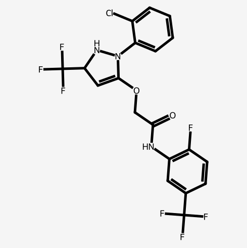 O=C(COC1=CC(C(F)(F)F)NN1c1ccccc1Cl)Nc1cc(C(F)(F)F)ccc1F